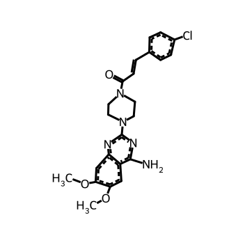 COc1cc2nc(N3CCN(C(=O)C=Cc4ccc(Cl)cc4)CC3)nc(N)c2cc1OC